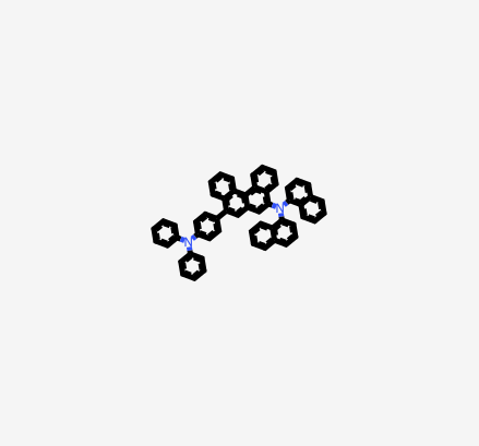 c1ccc(N(c2ccccc2)c2ccc(-c3cc4cc(N(c5cccc6ccccc56)c5cccc6ccccc56)c5ccccc5c4c4ccccc34)cc2)cc1